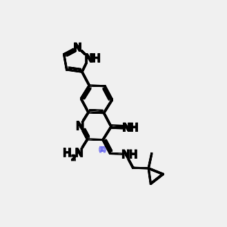 CC1(CN/C=C2\C(=N)c3ccc(-c4ccn[nH]4)cc3N=C2N)CC1